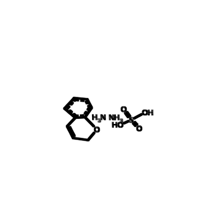 C1=Cc2ccccc2OC1.N.N.O=S(=O)(O)O